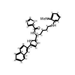 CNc1ccccc1NCCCC[C@H](NC(=O)c1cncs1)c1ncc(-c2ccc3ccccc3c2)[nH]1